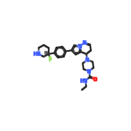 CCNC(=O)N1CCN(C2CC=Nn3cc(-c4ccc([C@@]5(F)CCCNC5)cc4)cc32)CC1